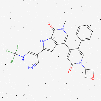 Cn1cc(-c2cc(=O)n(C3COC3)cc2-c2ccccc2)c2cc(/C(C=N)=C/NC(F)(F)F)[nH]c2c1=O